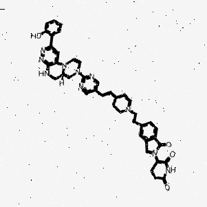 O=C1CCC(N2Cc3cc(CCN4CCC(/C=C/c5cnc(N6CCN7c8cc(-c9ccccc9O)nnc8NC[C@H]7C6)nc5)CC4)ccc3C2=O)C(=O)N1